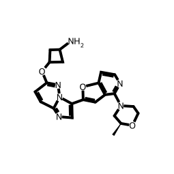 C[C@H]1CN(c2nccc3oc(-c4cnc5ccc(OC6CC(N)C6)nn45)cc23)CCO1